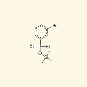 CCC(CC)(O[Si](C)(C)C)c1cccc(Br)c1